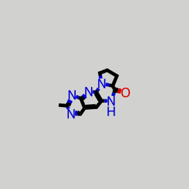 Cc1ncc2cc3c(nc2n1)N1CCCC1C(=O)N3